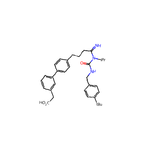 CC(C)N(C(=N)CCCc1ccc(-c2cccc(CC(=O)O)c2)cc1)C(=O)NCc1ccc(C(C)(C)C)cc1